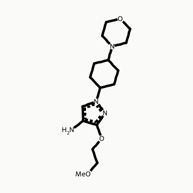 COCCOc1nn(C2CCC(N3CCOCC3)CC2)cc1N